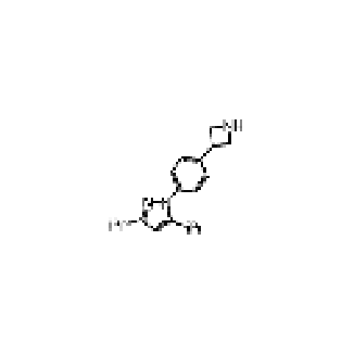 CC(C)c1cc(C(C)C)n(-c2ccc(C3CNC3)cc2)n1